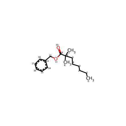 CCCCCCC(C)(C)C(=O)OCc1ccccc1